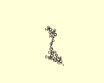 CCOc1cc(C(=O)NC2CCN(CCOCCOCCNc3cccc4c3C(=O)N(C3CCC(=O)NC3=O)C4=O)CC2)c(F)cc1Nc1ncc2c(n1)N(C1CCCC1)CC(F)(F)C(=O)N2C